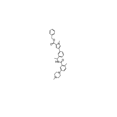 Cc1ccc(N2CCN(C)CC2)cc1C(=O)NC(C)c1cccc(-c2cc(C(=O)OCc3ccccc3)n(C)c2)c1